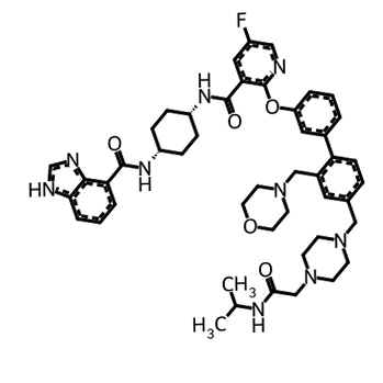 CC(C)NC(=O)CN1CCN(Cc2ccc(-c3cccc(Oc4ncc(F)cc4C(=O)N[C@H]4CC[C@@H](NC(=O)c5cccc6[nH]cnc56)CC4)c3)c(CN3CCOCC3)c2)CC1